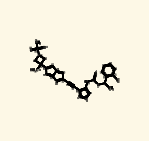 CC(OC(=O)Nc1conc1C#CC1=NC2=NC(C3(C(=O)O)CN(S(C)(=O)=O)C3)=CC2=C1)c1ccccc1Cl